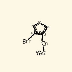 CC(C)(C)Oc1cscc1Br